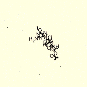 CCOc1nc(N)nc2c1ncn2[C@@H]1O[C@@H]2COP(=O)(N[C@@H](C)COC(=O)C(C)C)O[C@H]2[C@@]1(C)Cl